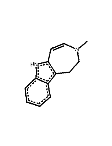 CN1C=Cc2[nH]c3ccccc3c2CC1